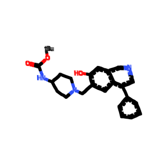 CC(C)(C)OC(=O)NC1CCN(Cc2cc3c(-c4ccccc4)cncc3cc2O)CC1